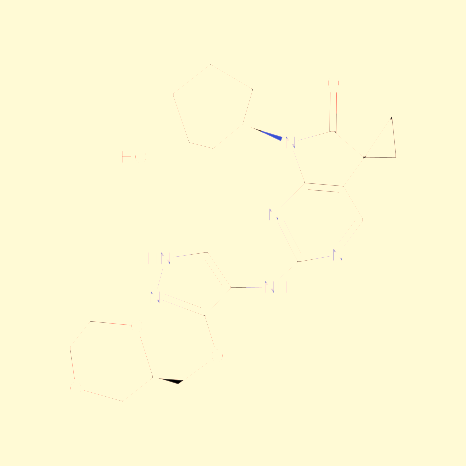 O=C1N([C@@H]2CCC[C@@H](O)C2)c2nc(Nc3c[nH]nc3OC[C@H]3COCCO3)ncc2C12CC2